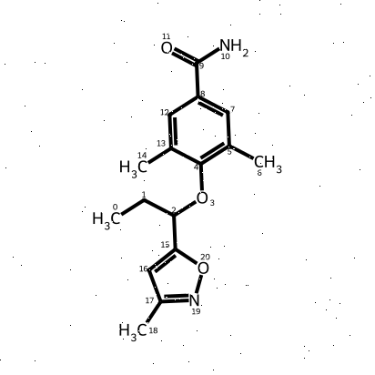 CCC(Oc1c(C)cc(C(N)=O)cc1C)c1cc(C)no1